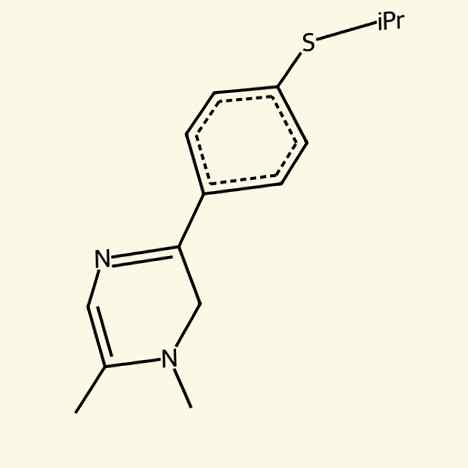 CC1=CN=C(c2ccc(SC(C)C)cc2)CN1C